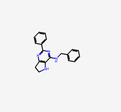 c1ccc(CNc2nc(-c3ccccc3)nc3c2NCC3)cc1